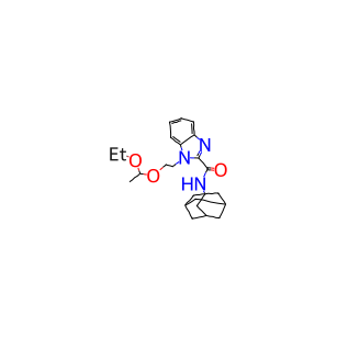 CCOC(C)OCCn1c(C(=O)NC23CC4CC(CC(C4)C2)C3)nc2ccccc21